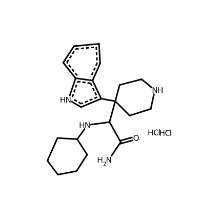 Cl.Cl.NC(=O)C(NC1CCCCC1)C1(c2c[nH]c3ccccc23)CCNCC1